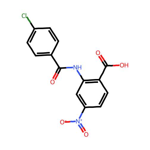 O=C(Nc1cc([N+](=O)[O-])ccc1C(=O)O)c1ccc(Cl)cc1